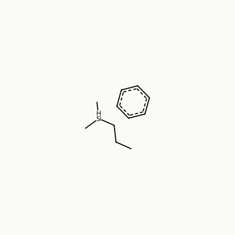 CCC[SiH](C)C.c1ccccc1